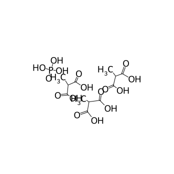 CC(C(=O)O)C(=O)O.CC(C(=O)O)C(=O)O.CC(C(=O)O)C(=O)O.O=P(O)(O)O